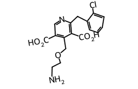 NCCOCc1c(C(=O)O)cnc(Cc2ccccc2Cl)c1C(=O)O